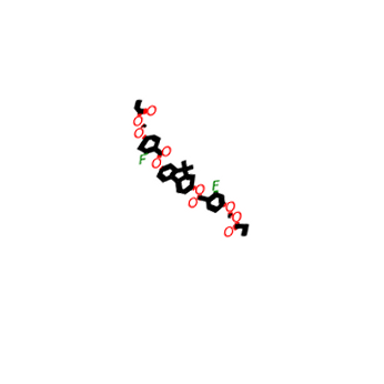 C=CC(=O)OCOc1ccc(C(=O)Oc2ccc3c(c2)C(C)(C)c2cc(OC(=O)c4ccc(OCOC(=O)C=C)cc4F)ccc2-3)c(F)c1